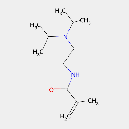 C=C(C)C(=O)NCCN(C(C)C)C(C)C